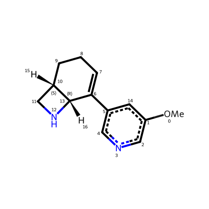 COc1cncc(C2=CCC[C@H]3CN[C@@H]23)c1